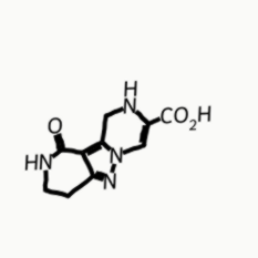 O=C(O)C1=Cn2nc3c(c2CN1)C(=O)NCC3